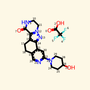 O=C(O)C(F)(F)F.O=C1NCCn2nc3c(c21)CCc1cnc(N2CCC(O)CC2)cc1-3